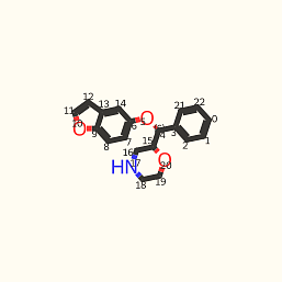 c1ccc([C@H](Oc2ccc3occc3c2)C2CNCCO2)cc1